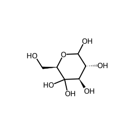 OC[C@H]1OC(O)[C@H](O)[C@@H](O)C1(O)O